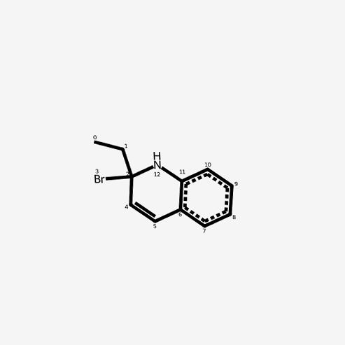 CCC1(Br)C=Cc2ccccc2N1